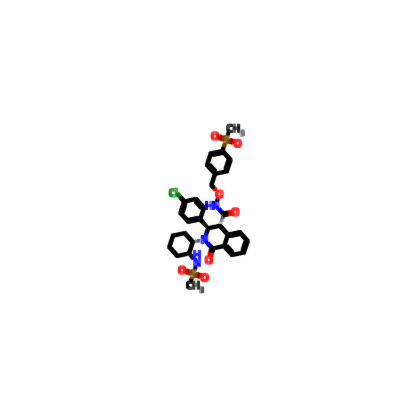 CS(=O)(=O)N[C@H]1CCCC[C@@H]1N1C(=O)c2ccccc2[C@@H](C(=O)NOCc2ccc(S(C)(=O)=O)cc2)[C@@H]1c1ccc(Cl)cc1